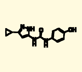 O=C(Nc1ccc(O)cc1)Nc1cc(C2CC2)n[nH]1